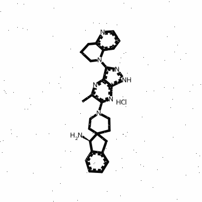 Cc1nc2c(N3CCCc4ncccc43)n[nH]c2nc1N1CCC2(CC1)Cc1ccccc1[C@H]2N.Cl